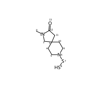 CN1CC2(CCN(SS)CC2)CC1=O